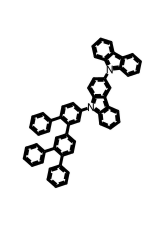 c1ccc(-c2ccc(-c3cc(-n4c5ccccc5c5cc(-n6c7ccccc7c7ccccc76)ccc54)ccc3-c3ccccc3)cc2-c2ccccc2)cc1